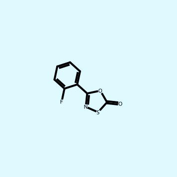 O=c1oc(-c2ccccc2F)ns1